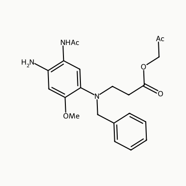 COc1cc(N)c(NC(C)=O)cc1N(CCC(=O)OCC(C)=O)Cc1ccccc1